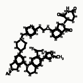 CC(=O)N1Cc2cc(C3CCN(Cc4ccc(CCOc5cccc6c5CN(C5CCC(=O)NC5=O)C6=O)nc4)CC3)cc(N3CCCc4cc(-c5cnn(C)c5)c(C(F)F)cc43)c2C1